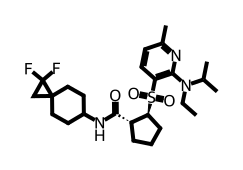 CCN(c1nc(C)ccc1S(=O)(=O)[C@H]1CCC[C@@H]1C(=O)NC1CCC2(CC1)CC2(F)F)C(C)C